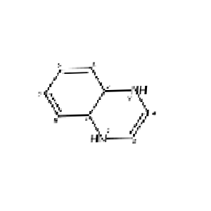 C1=CC2NC=CNC2C=C1